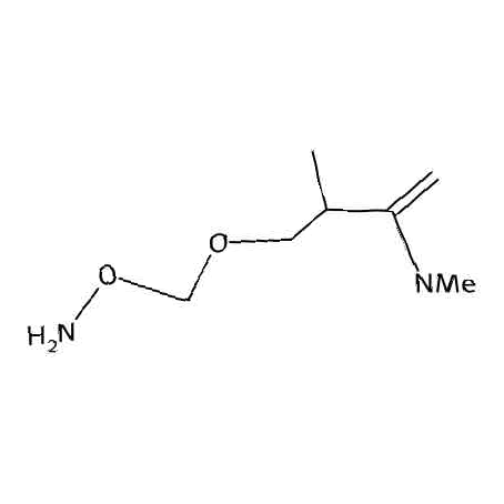 C=C(NC)C(C)COCON